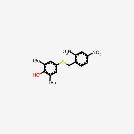 CC(C)(C)c1cc(SCc2ccc([N+](=O)[O-])cc2[N+](=O)[O-])cc(C(C)(C)C)c1O